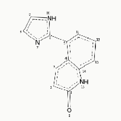 O=c1ccc2c(-c3ncc[nH]3)cccc2[nH]1